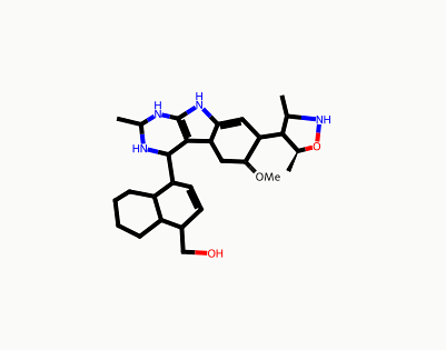 COC1CC2C(=CC1C1C(C)NO[C@H]1C)NC1=C2C(C2C=CC(CO)C3CCCCC23)NC(C)N1